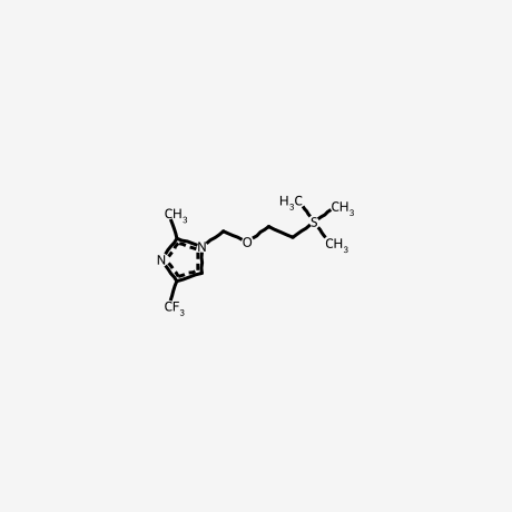 Cc1nc(C(F)(F)F)cn1COCCS(C)(C)C